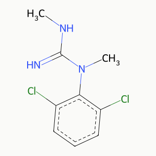 CNC(=N)N(C)c1c(Cl)cccc1Cl